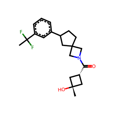 CC(F)(F)c1cccc(C2CCC3(C2)CN(C(=O)[C@H]2C[C@@](C)(O)C2)C3)c1